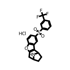 Cl.O=S(=O)(c1cccc(C(F)(F)F)c1)c1ccc2oc3c(c2c1)C1CCC(C3)N1